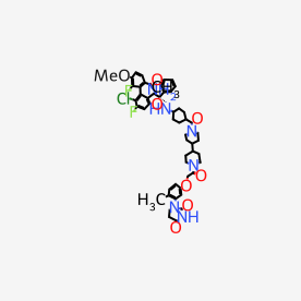 COc1ccc(C(N)=O)c(-c2c(Cl)c(F)cc3c2[C@H](C)[C@@](CNC2CCC(C(=O)N4CCC(C5CCN(C(=O)COc6ccc(C)c(N7CCC(=O)NC7=O)c6)CC5)CC4)CC2)(c2ccccc2)O3)c1F